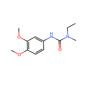 CCN(C)C(=O)Nc1ccc(OC)c(OC)c1